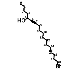 CCCCC(O)C#CCCCCCCCSCCCBr